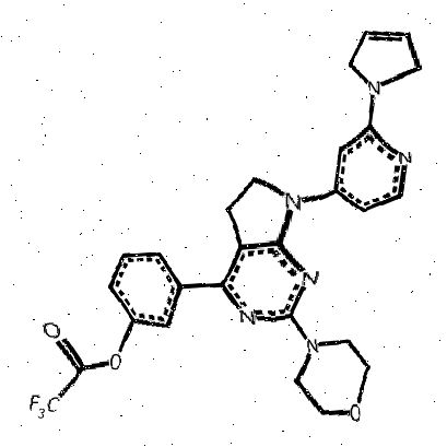 O=C(Oc1cccc(-c2nc(N3CCOCC3)nc3c2CCN3c2ccnc(N3CC=CC3)c2)c1)C(F)(F)F